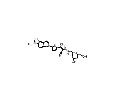 C/C(=C(/C#N)SNCC1CC(O)CC(CO)O1)c1ccc(-c2ccc3cc(N(C)C)ccc3c2)s1